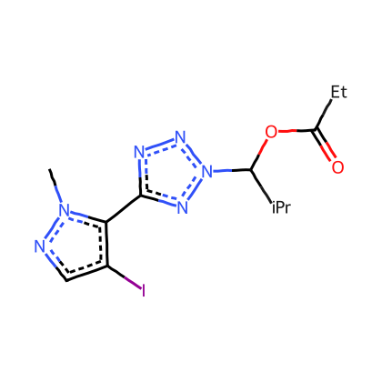 CCC(=O)OC(C(C)C)n1nnc(-c2c(I)cnn2C)n1